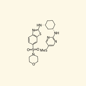 CSc1cnc(N[C@H]2CCC[C@@H](Nc3nc4ccc(S(=O)(=O)N5CCOCC5)cc4s3)C2)nc1